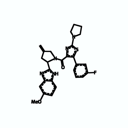 C=C1CC(c2nc3cc(OC)ccc3[nH]2)N(C(=O)c2nc(N3CCCC3)sc2-c2cccc(F)c2)C1